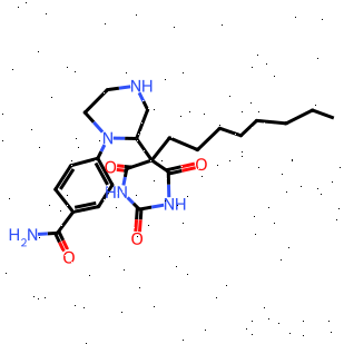 CCCCCCCCC1(C2CNCCN2c2ccc(C(N)=O)cc2)C(=O)NC(=O)NC1=O